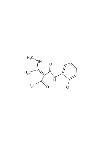 CNC(C)=C(C(C)=O)C(=O)Nc1ccccc1Cl